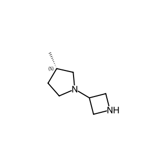 C[C@H]1CCN(C2CNC2)C1